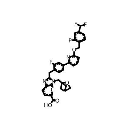 O=C(O)c1ccc2nc(Cc3ccc(-c4cccc(OCc5ccc(C(F)F)cc5F)n4)cc3F)n(CC34CC(CO3)C4)c2c1